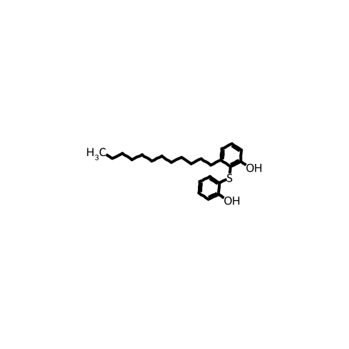 CCCCCCCCCCCCc1cccc(O)c1Sc1ccccc1O